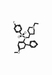 CCN1CCC(CN(C2=CC=C(OC)CC2c2ccccc2)S(=O)(=O)c2ccc(F)cc2)CC1